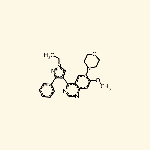 CCn1cc(-c2ncnc3cc(OC)c(N4CCOCC4)cc23)c(-c2ccccc2)n1